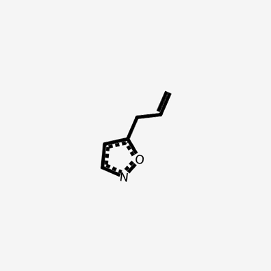 C=CCc1ccno1